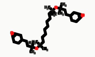 C[Si](C)(CCCCCCCC[Si](C)(C)O[Si](C)(C)CCC1CCC2OC2C1)O[Si](C)(C)CCC1CCC2OC2C1